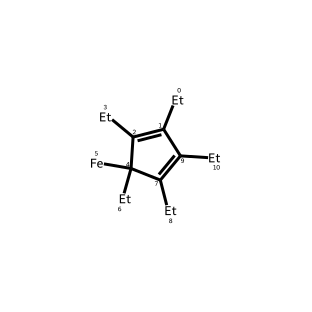 CCC1=C(CC)[C]([Fe])(CC)C(CC)=C1CC